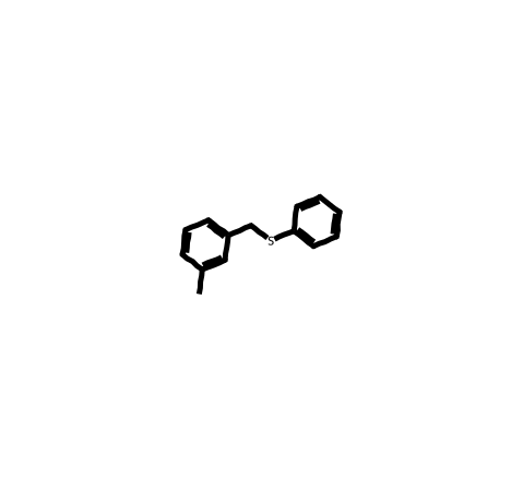 Cc1cccc(CSc2ccccc2)c1